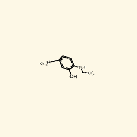 O=[N+]([O-])c1ccc(NCC(F)(F)F)c(O)c1